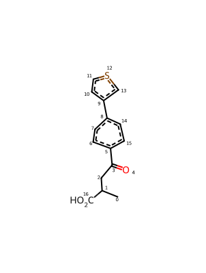 CC(CC(=O)c1ccc(-c2ccsc2)cc1)C(=O)O